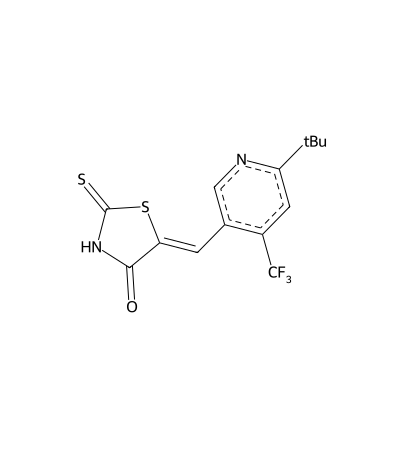 CC(C)(C)c1cc(C(F)(F)F)c(/C=C2\SC(=S)NC2=O)cn1